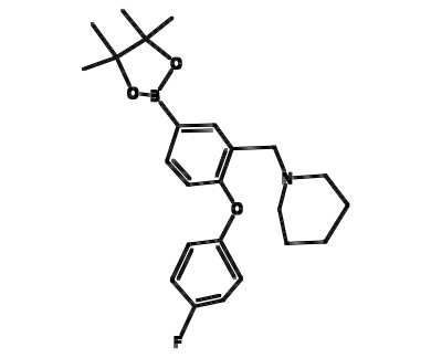 CC1(C)OB(c2ccc(Oc3ccc(F)cc3)c(CN3CCCCC3)c2)OC1(C)C